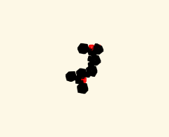 C=C1/C(=C/C2=CC(=C\C3CCCC4=C(c5ccccc5)C=C(c5ccccc5)OC43)/CCC2)CCC/C1=C(/C=C(\O)c1ccccc1)c1ccccc1